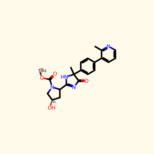 Cc1ncccc1-c1ccc(C2(C)NC(C3C[C@@H](O)CN3C(=O)OC(C)(C)C)=NC2=O)cc1